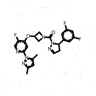 Cc1cc(C)n(-c2cc(OC3CN(C(=O)N4N=CCC4c4cc(F)cc(F)c4)C3)c(F)cn2)n1